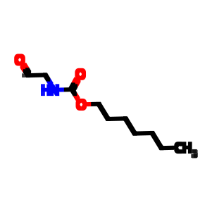 CCCCCCCOC(=O)NC[C]=O